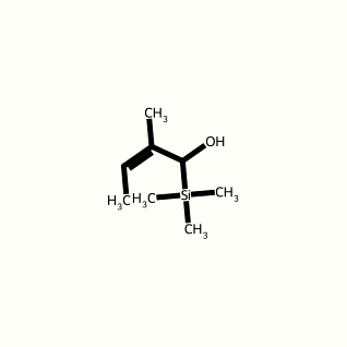 CC=C(C)C(O)[Si](C)(C)C